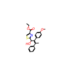 CCOC(=O)c1csc(C(O)/C(=C(/C)c2ccccc2)c2ccc(OC)cc2)n1